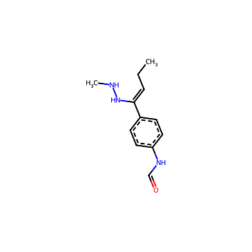 CC/C=C(\NNC)c1ccc(NC=O)cc1